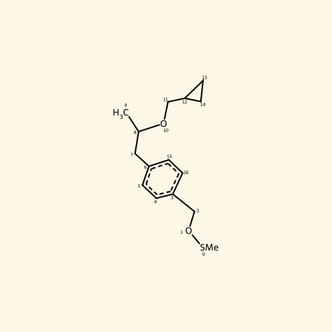 CSOCc1ccc(CC(C)OCC2CC2)cc1